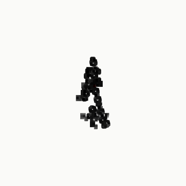 CC(C)Oc1ccccc1[C@@H]1CN(c2c(F)cc3c(c2F)CCCO3)CCN1C1CC2(CCN(c3ccc(C(=O)NS(=O)(=O)c4cc5c(c([N+](=O)[O-])c4)N[C@H](C4CCOCC4)CO5)c(N4c5cc6cc[nH]c6nc5O[C@H]5COCC[C@@H]54)c3)CC2)C1